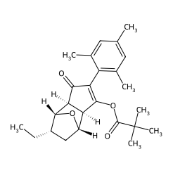 CC[C@H]1C[C@@H]2O[C@H]1[C@H]1C(=O)C(c3c(C)cc(C)cc3C)=C(OC(=O)C(C)(C)C)[C@H]12